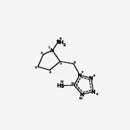 BN1CCCC1Cn1nnnc1S